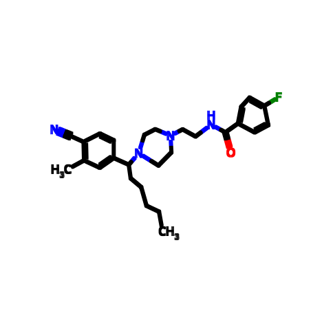 CCCCCC(c1ccc(C#N)c(C)c1)N1CCN(CCNC(=O)c2ccc(F)cc2)CC1